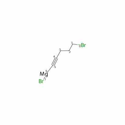 BrCCCC#[C][Mg][Br]